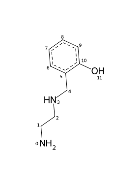 NCCNCc1ccccc1O